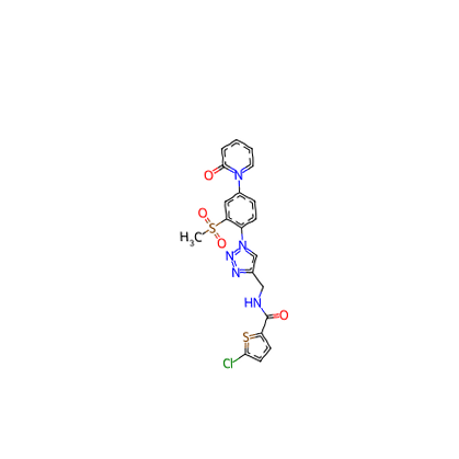 CS(=O)(=O)c1cc(-n2ccccc2=O)ccc1-n1cc(CNC(=O)c2ccc(Cl)s2)nn1